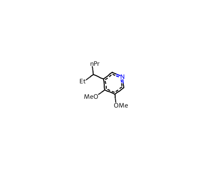 CCCC(CC)c1cncc(OC)c1OC